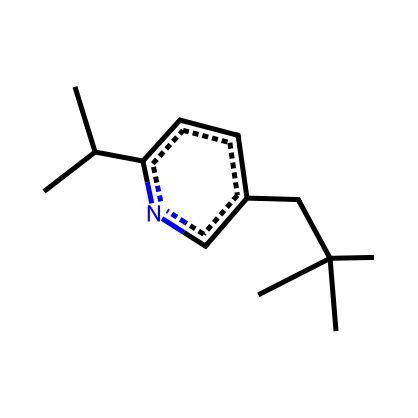 CC(C)c1ccc(CC(C)(C)C)cn1